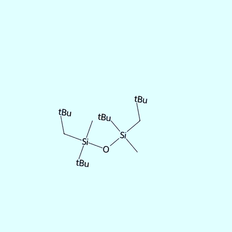 CC(C)(C)C[Si](C)(O[Si](C)(CC(C)(C)C)C(C)(C)C)C(C)(C)C